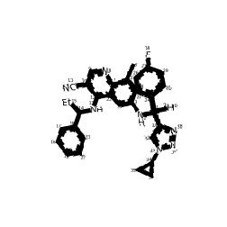 [2H]C(Nc1cc(C)c2ncc(C#N)c(NC(CC)c3ccccc3)c2c1)(c1ccc(F)cc1)c1cn(C2CC2)nn1